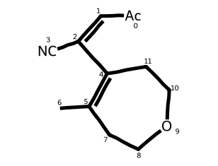 CC(=O)/C=C(/C#N)C1=C(C)CCOCC1